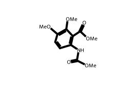 COC(=O)Nc1ccc(OC)c(OC)c1C(=O)OC